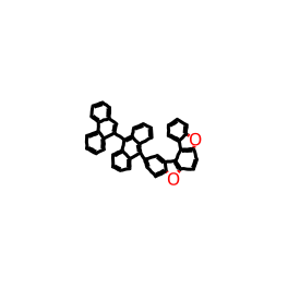 c1ccc2c(c1)cc(-c1c3ccccc3c(-c3ccc4oc5ccc6oc7ccccc7c6c5c4c3)c3ccccc13)c1ccccc12